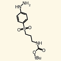 CC(C)(C)OC(=O)NCCCS(=O)(=O)c1ccc(NN)cc1